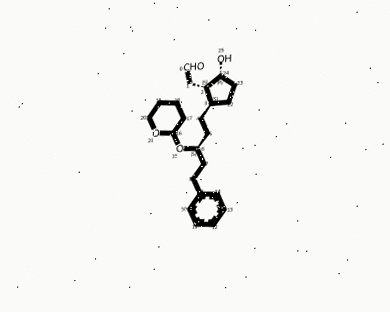 O=CC[C@H]1[C@H](CC[C@@H](CCc2ccccc2)OC2CCCCO2)CC[C@H]1O